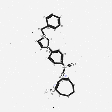 C1=C\CCCC\C=C/1.O=[N+]([O-])c1ccc(N2C=CN(Cc3ccccc3)C2)cc1.[I-].[Rh+]